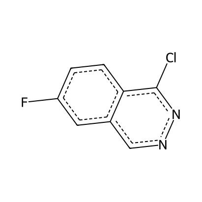 Fc1ccc2c(Cl)nncc2c1